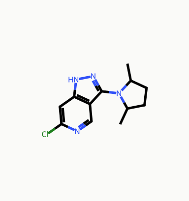 CC1CCC(C)N1c1n[nH]c2cc(Cl)ncc12